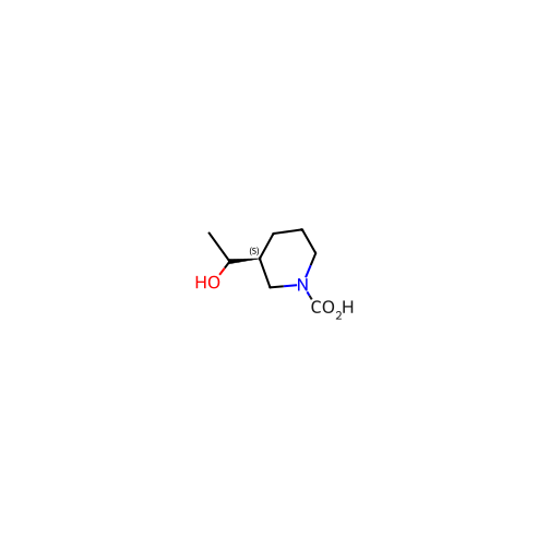 CC(O)[C@H]1CCCN(C(=O)O)C1